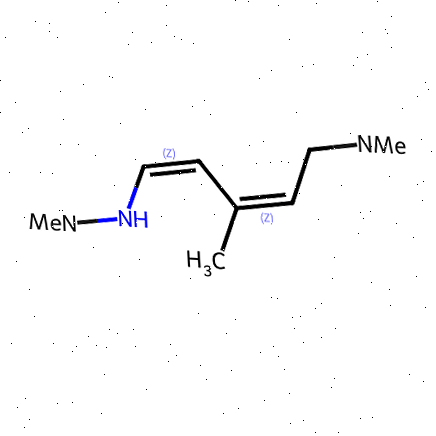 CNC/C=C(C)\C=C/NNC